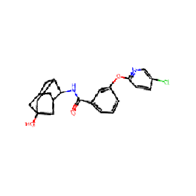 O=C(NC1C2CC3CC1CC(O)(C3)C2)c1cccc(Oc2ccc(Cl)cn2)c1